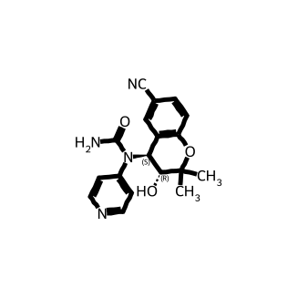 CC1(C)Oc2ccc(C#N)cc2[C@H](N(C(N)=O)c2ccncc2)[C@H]1O